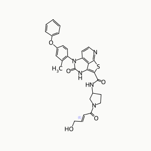 Cc1cc(Oc2ccccc2)ccc1N1C(=O)Nc2c(C(=O)NC3CCN(C(=O)/C=C/CO)C3)sc3nccc1c23